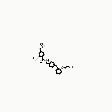 CCCOc1ccccc1Oc1ccc(CNC(=O)c2ccc(COC)nc2N)cc1